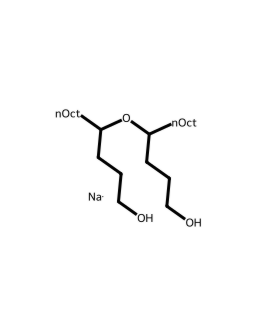 CCCCCCCCC(CCCO)OC(CCCO)CCCCCCCC.[Na]